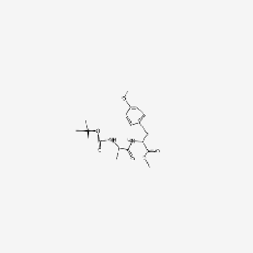 COC(=O)C(Cc1ccc(OC)cc1)NC(=O)C(C)NC(=O)OC(C)(C)C